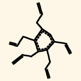 C=CCc1cc(C=C)c(CC=C)c(CC=C)c1CC=C